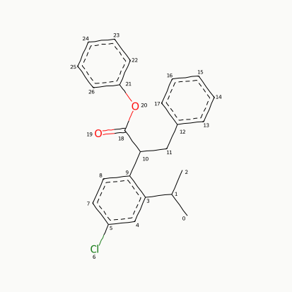 CC(C)c1cc(Cl)ccc1C(Cc1ccccc1)C(=O)Oc1ccccc1